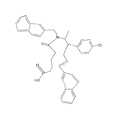 CC(C(C/C=C/c1ccc2ccccc2c1)c1ccc(Cl)cc1)N(Cc1ccc2ccccc2c1)C(=O)CCCCC(=O)O